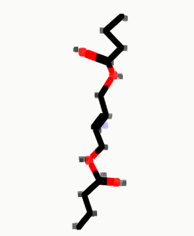 CCCC(=O)OC/C=C/COC(=O)CCC